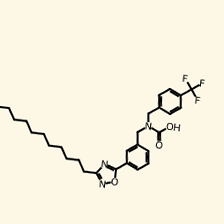 CCCCCCCCCCCc1noc(-c2cccc(CN(Cc3ccc(C(F)(F)F)cc3)C(=O)O)c2)n1